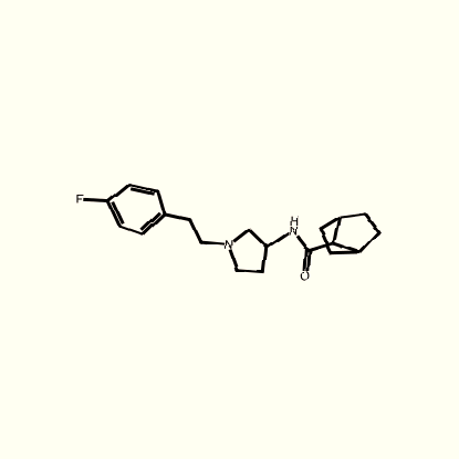 O=C(NC1CCN(CCc2ccc(F)cc2)C1)C1C2CCC1CC2